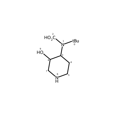 CC(C)(C)N(C(=O)O)C1CCNCC1O